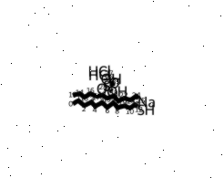 CCCCCCCCCCCCS.CCCCCCCCCCC[CH2][Na].Cl.Cl.O=S(=O)(O)O